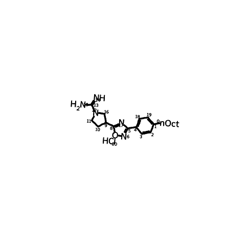 CCCCCCCCc1ccc(-c2noc(C3CCN(C(=N)N)C3)n2)cc1.Cl